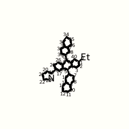 CCc1ccc2c(-c3ccc4ccccc4c3)c3cc(-c4ccccn4)ccc3c(-c3ccc4ccccc4c3)c2c1